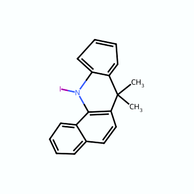 CC1(C)c2ccccc2N(I)c2c1ccc1ccccc21